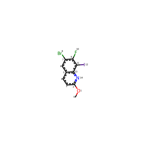 COc1ccc2cc(Br)c(F)c(I)c2n1